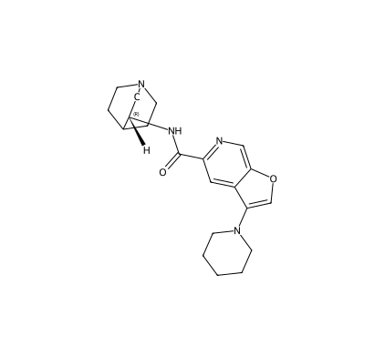 O=C(N[C@H]1CN2CCC1CC2)c1cc2c(N3CCCCC3)coc2cn1